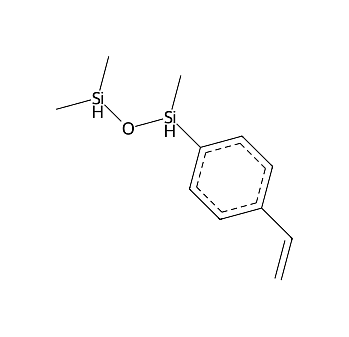 C=Cc1ccc([SiH](C)O[SiH](C)C)cc1